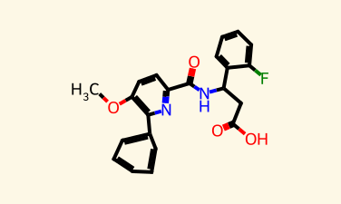 COc1ccc(C(=O)NC(CC(=O)O)c2ccccc2F)nc1-c1ccccc1